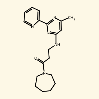 Cc1cc(NCCC(=O)N2CCCCCC2)nc(-c2ccccn2)n1